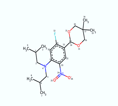 CC(C)CN(CC(C)C)c1cc(F)c(B2OCC(C)(C)CO2)cc1[N+](=O)[O-]